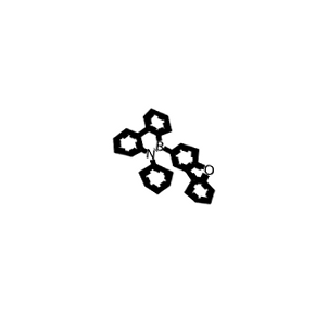 c1ccc(N2B(c3ccc4oc5ccccc5c4c3)c3ccccc3-c3ccccc32)cc1